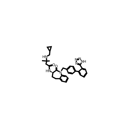 CC(C)(CC(=O)N[C@@H]1CCc2ccccc2N(Cc2ccc(-c3ccccc3-c3nnn[nH]3)cc2)C1=O)NCC1CC1